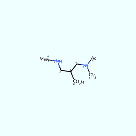 CNNCC(CN(C)C(C)=O)C(=O)O